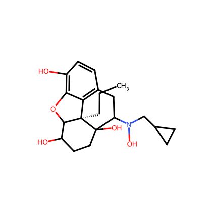 CCC[C@@]12c3c4ccc(O)c3OC1C(O)CCC2(O)C(N(O)CC1CC1)C4